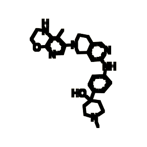 Cc1c(N2CCc3cnc(Nc4ccc(C5(O)CCN(C)CC5)cc4)cc3C2)cnc2c1NCCO2